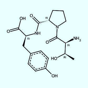 C[C@@H](O)[C@H](N)C(=O)N1CCC[C@H]1C(=O)N[C@@H](Cc1ccc(O)cc1)C(=O)O